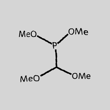 COC(OC)P(OC)OC